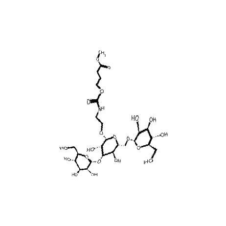 COC(=O)CCCOC(=O)NCCO[C@@H]1O[C@H](CO[C@H]2O[C@H](CO)[C@@H](O)[C@H](O)[C@@H]2O)[C@@H](O)[C@H](O[C@H]2O[C@H](CO)[C@@H](O)[C@H](O)[C@@H]2O)[C@@H]1O